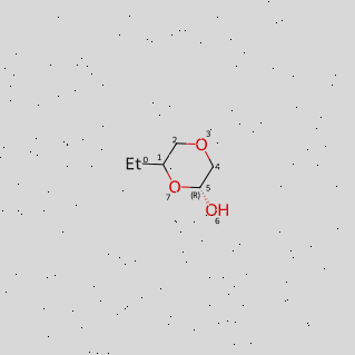 CCC1COC[C@H](O)O1